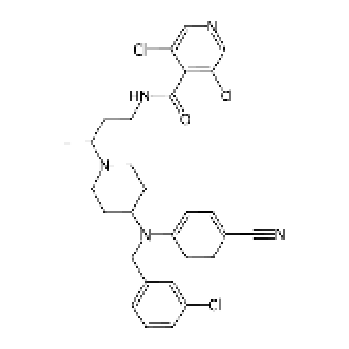 CC(CCNC(=O)c1c(Cl)cncc1Cl)N1CCC(N(Cc2cccc(Cl)c2)c2ccc(C#N)cc2)CC1